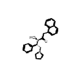 O=C(Cc1cccc2ccccc12)N(O)[C@H](CN1CCCC1)c1ccccc1